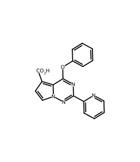 O=C(O)c1ccn2nc(-c3ccccn3)nc(Oc3ccccc3)c12